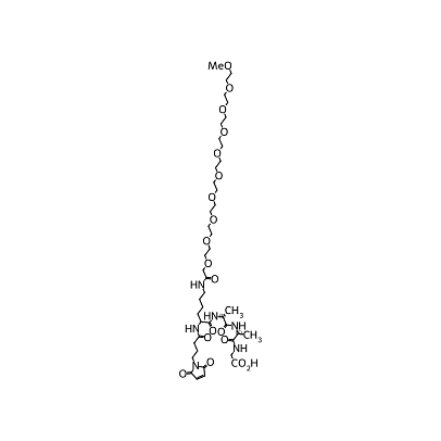 COCCOCCOCCOCCOCCOCCOCCOCCOCCOCC(=O)NCCCCC(NC(=O)CCCN1C(=O)C=CC1=O)C(=O)N[C@@H](C)C(=O)N[C@@H](C)C(=O)NCC(=O)O